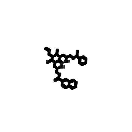 C=CCn1c(=O)n(CC(O)COC(=O)c2ccccc2)c(=O)n(CC(O)COC(=O)c2ccc3ccccc3c2)c1=O